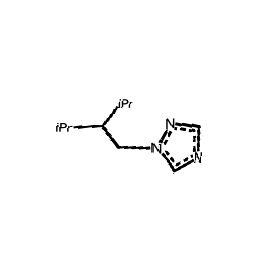 CC(C)C(Cn1cncn1)C(C)C